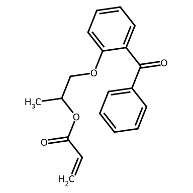 C=CC(=O)OC(C)COc1ccccc1C(=O)c1ccccc1